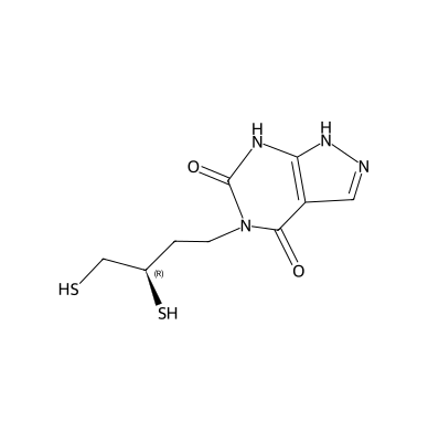 O=c1[nH]c2[nH]ncc2c(=O)n1CC[C@@H](S)CS